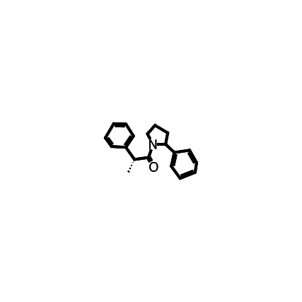 C[C@@H](C(=O)N1CCCC1c1ccccc1)c1ccccc1